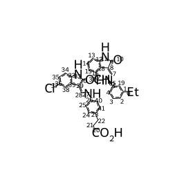 CCc1cccc(N/C=C2/C(=O)Nc3cccc(C)c32)c1.O=C(O)CCc1ccc(N/C=C2\C(=O)Nc3ccc(Cl)cc32)cc1